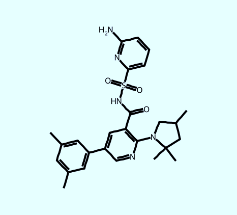 Cc1cc(C)cc(-c2cnc(N3CC(C)CC3(C)C)c(C(=O)NS(=O)(=O)c3cccc(N)n3)c2)c1